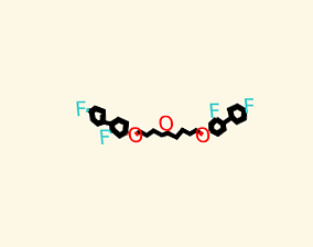 O=C(CCCCOc1ccc(-c2ccc(F)cc2)c(F)c1)CCCCOc1ccc(-c2ccc(F)cc2)c(F)c1